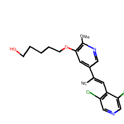 COc1ncc(C(C#N)=Cc2c(Cl)cncc2Cl)cc1OCCCCCO